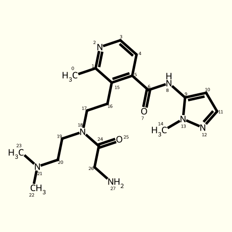 Cc1nccc(C(=O)Nc2ccnn2C)c1CCN(CCN(C)C)C(=O)CN